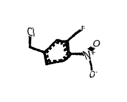 O=[N+]([O-])c1ccc(CCl)cc1F